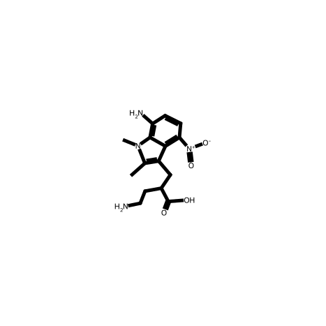 Cc1c(CC(CCN)C(=O)O)c2c([N+](=O)[O-])ccc(N)c2n1C